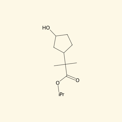 CC(C)OC(=O)C(C)(C)C1CCC(O)C1